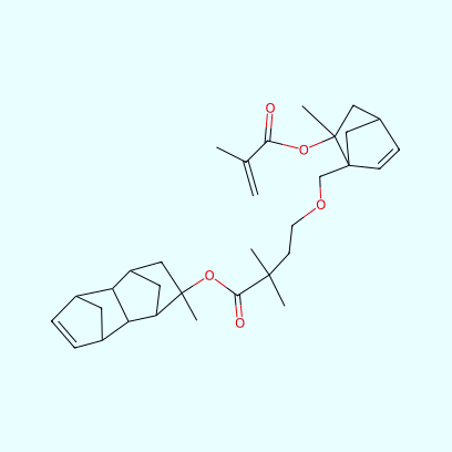 C=C(C)C(=O)OC1(C)CC2C=CC1(COCCC(C)(C)C(=O)OC1(C)CC3CC1C1C4C=CC(C4)C31)C2